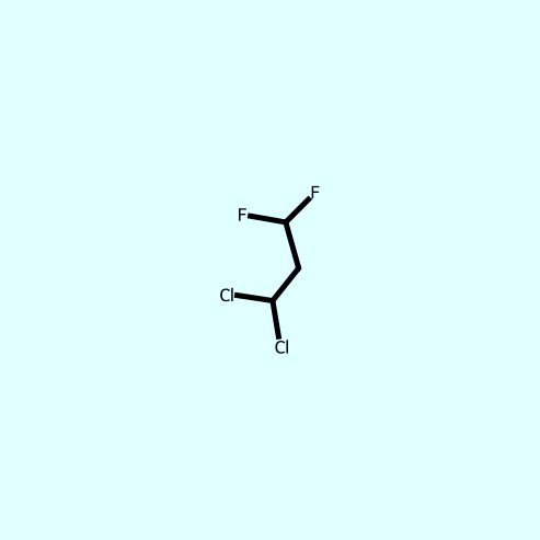 FC(F)CC(Cl)Cl